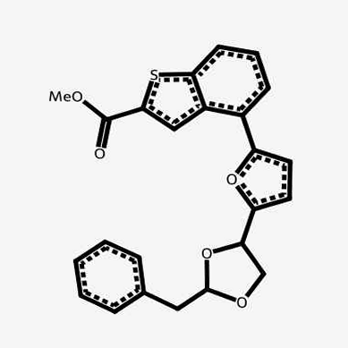 COC(=O)c1cc2c(-c3ccc(C4COC(Cc5ccccc5)O4)o3)cccc2s1